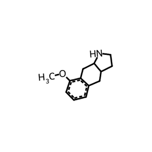 COc1cccc2c1CC1NCCC1C2